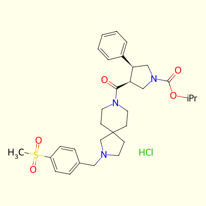 CC(C)OC(=O)N1C[C@H](c2ccccc2)[C@H](C(=O)N2CCC3(CCN(Cc4ccc(S(C)(=O)=O)cc4)C3)CC2)C1.Cl